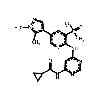 Cc1c(-c2cnc(Nc3cc(NC(=O)C4CC4)ncn3)c(P(C)(C)=O)c2)cnn1C